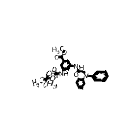 COC(=O)c1cc(NC(=O)CN(c2ccccc2)c2ccccc2)cc(NC(=O)OC(C)(C)C)c1